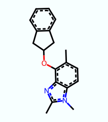 Cc1ccc2c(nc(C)n2C)c1OC1Cc2ccccc2C1